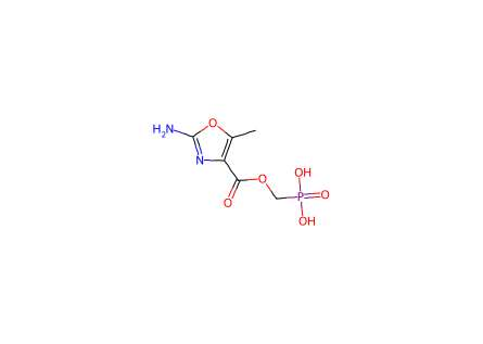 Cc1oc(N)nc1C(=O)OCP(=O)(O)O